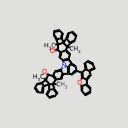 CC12C(=O)c3cc4c(cc3C3(C)c5ccccc5C13c1ccccc12)c1cc(-c2c3ccccc3cc3c2oc2ccccc23)cc2c3cc5c(cc3n4c12)C(=O)C1(C)c2ccccc2C12c1ccccc1C52C